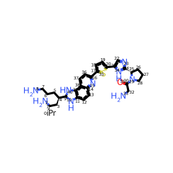 CC(C)[C@H](N)C[C@@H](CCCN)C1Nc2ccc3nc(-c4ccc(-c5cnc([C@@H]6CCCN6C(=O)CN)[nH]5)s4)ccc3c2N1